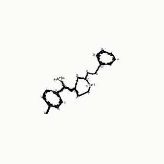 Cc1ccc(C(O)C2CCNC(CCc3ccccc3)C2)cc1